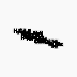 CNc1cc(OCCOCCN2CCN(C(C)=O)CC2)c(OC)cc1C(=N)Oc1ccc2[nH]c(C)cc2c1F